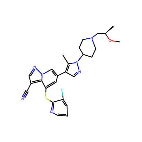 CO[C@H](C)CN1CCC(n2ncc(-c3cc(Sc4ncccc4F)c4c(C#N)cnn4c3)c2C)CC1